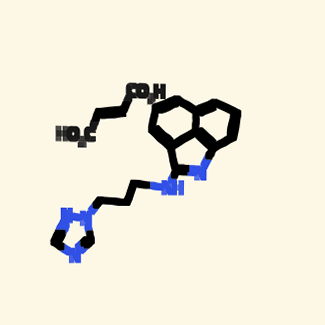 O=C(O)/C=C/C(=O)O.c1cc2c3c(cccc3c1)C(NCCCn1cncn1)=N2